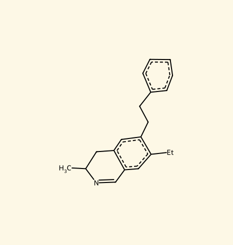 CCc1cc2c(cc1CCc1ccccc1)CC(C)N=C2